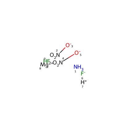 F.N.O=[N+]([O-])[O-].O=[N+]([O-])[O-].[F-].[H+].[Mg+2]